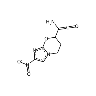 NC(=C=O)C1CCn2cc([N+](=O)[O-])nc2O1